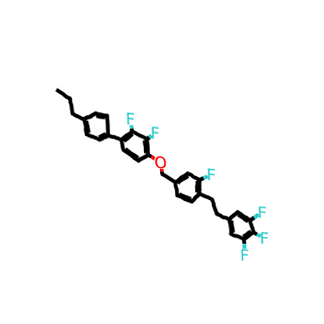 CCCc1ccc(-c2ccc(OCc3ccc(CCc4cc(F)c(F)c(F)c4)c(F)c3)c(F)c2F)cc1